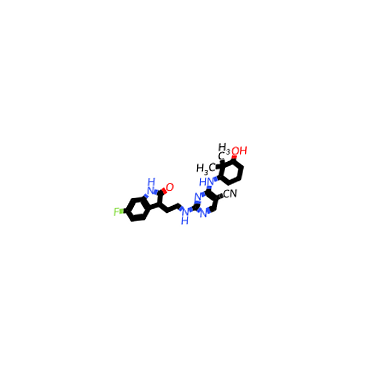 CC1(C)C(O)CCCC1Nc1nc(NCCC2C(=O)Nc3cc(F)ccc32)ncc1C#N